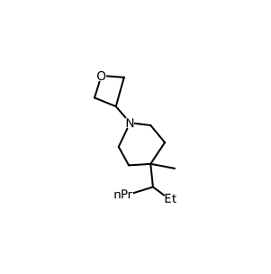 CCCC(CC)C1(C)CCN(C2COC2)CC1